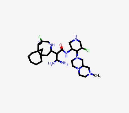 CN1CCN2CCN(C3C(Cl)CNCC3NC(=O)C(C(N)N)C3CC45CCCCCC4(/C=C(/F)CN3)C5)CC2C1